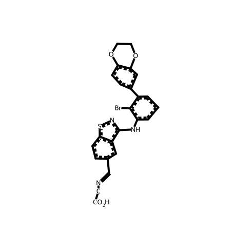 O=C(O)CN=Cc1ccc2snc(Nc3cccc(-c4ccc5c(c4)OCCO5)c3Br)c2c1